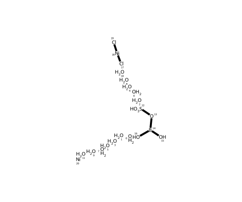 O.O.O.O.O.O.O.O.O.O.O.O.O=S(=O)(O)OB(O)O.[Cl][Ni][Cl].[Ni]